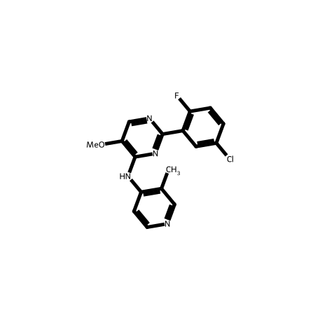 COc1cnc(-c2cc(Cl)ccc2F)nc1Nc1ccncc1C